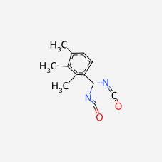 Cc1ccc(C(N=C=O)N=C=O)c(C)c1C